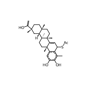 C=C(O)[C@]1(C)CC[C@]2(C)CC[C@]3(C)C4=CC(SC(C)=O)c5c(cc(O)c(O)c5C)[C@]4(C)CC[C@@]3(C)[C@@H]2C1